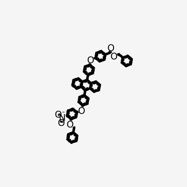 O=C(OCc1ccccc1)c1ccc(Oc2ccc(-c3c4ccccc4c(-c4ccc(Oc5ccc([N+](=O)[O-])c(OCc6ccccc6)c5)cc4)c4ccccc34)cc2)cc1